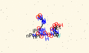 CCCN(CCC)CCCC[C@H](NC(=O)[C@@H](NC(=O)CCCCCn1cc(-c2cnc(S(C)(=O)=O)nc2)nn1)C(C)C)C(=O)NCC(=O)NCOCC(=O)N[C@H]1CCc2c(C)c(F)cc3nc4c(c1c23)Cn1c-4cc2c(c1=O)COC(=O)[C@]2(O)CC